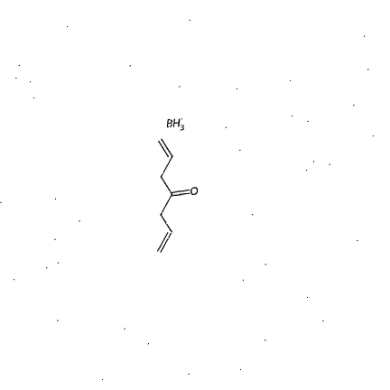 B.C=CCC(=O)CC=C